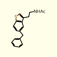 CC(=O)NCCc1csc2ccc(Cc3ccccc3)cc12